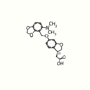 CN(C)c1ccc2c(c1COc1ccc3c(c1)OC[C@H]3CC(=O)O)OCO2